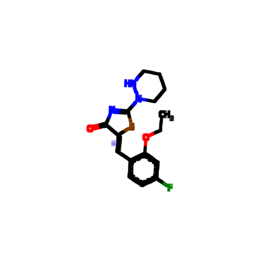 CCOc1cc(F)ccc1/C=C1\SC(N2CCCCN2)=NC1=O